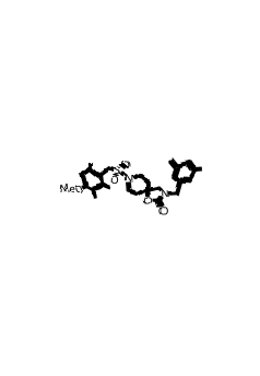 COc1cc(C)c(CS(=O)(=O)N2CCC3(CC2)CN(Cc2cc(C)cc(C)c2)C(=O)O3)c(C)c1C